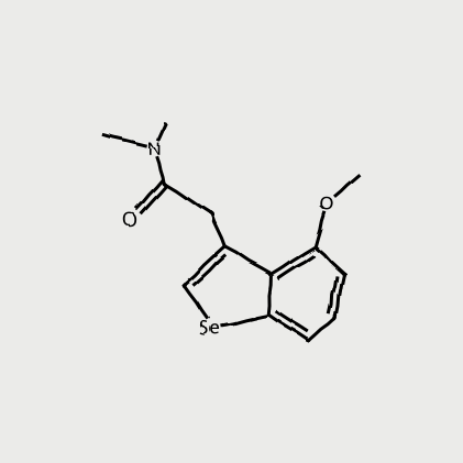 COc1cccc2[se]cc(CC(=O)N(C)C)c12